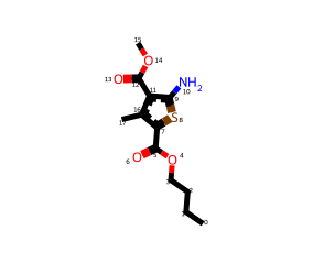 CCCCOC(=O)c1sc(N)c(C(=O)OC)c1C